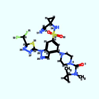 CN(C(=O)N1CCN(c2cc(S(=O)(=O)NC3(C#N)CC3)cc3c2cnn3-c2nnc(C(F)F)s2)CC1)C1(C)CC1